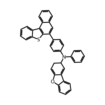 C1=c2oc3ccccc3c2=CC(N(c2ccccc2)c2ccc(-c3cc4ccccc4c4c3sc3ccccc34)cc2)C1